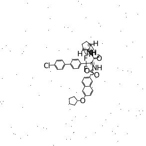 N[C@@H]1[C@@H]2CC[C@H]1CN(C(=O)[C@H](NS(=O)(=O)c1ccc3cc(OC4CCCC4)ccc3c1)C(F)(F)c1ccc(-c3ccc(Cl)cc3)cc1)C2